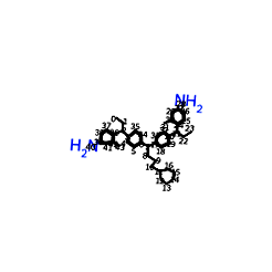 CCC(c1ccc(C(CCCC2CCCCC2)c2ccc(C(CC)c3ccc(N)cc3C)cc2)cc1)c1ccc(N)cc1C